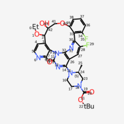 CCOC1c2ccnc(C(C)C)c2-n2c(=O)nc(N3CCN(C(=O)OC(C)(C)C)C[C@@H]3C)c3cc(F)c(nc32)-c2c(F)cccc2OCC1O